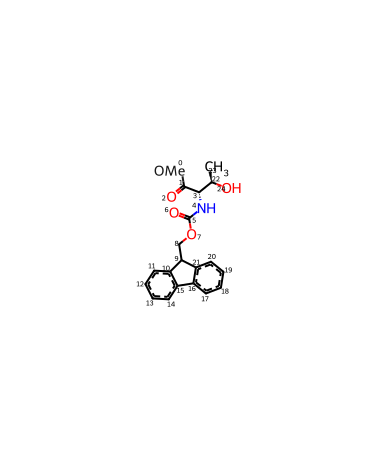 COC(=O)[C@@H](NC(=O)OCC1c2ccccc2-c2ccccc21)[C@@H](C)O